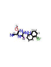 COc1nc(N[C@H]2CCCc3c(Br)cccc32)c(I)nc1C#N